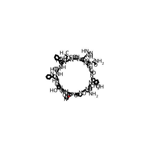 CCCC[C@H]1C(=O)N(C)[C@@H](C)C(=O)N[C@@H](CCCNC(=N)N)C(=O)NC(C(=O)NCC(N)=O)CSCC(=O)N[C@@H](Cc2ccc(O)cc2)C(=O)N(C)[C@@H](C)C(=O)N[C@@H](CC(N)=O)C(=O)N2CCC[C@H]2C(=O)N[C@@H](Cc2cnc[nH]2)C(=O)N[C@H](CO)C(=O)N2C[C@H](O)C[C@H]2C(=O)N[C@@H](Cc2c[nH]c3ccccc23)C(=O)N[C@@H](CO)C(=O)N[C@@H](Cc2c[nH]c3ccccc23)C(=O)N1C